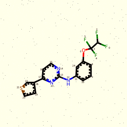 FC(F)C(F)(F)Oc1cccc(Nc2nccc(-c3ccsc3)n2)c1